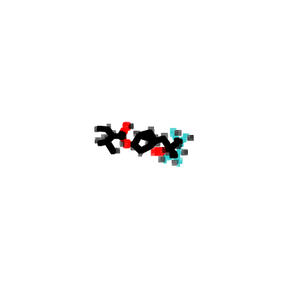 CCC(C(=O)OC1CC2CC1CC2CC(O)(C(F)(F)F)C(F)(F)F)C(C)C